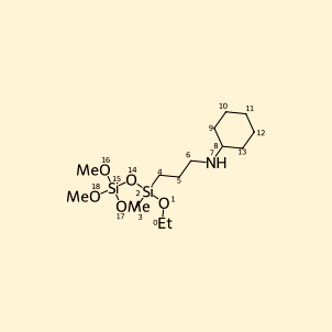 CCO[Si](C)(CCCNC1CCCCC1)O[Si](OC)(OC)OC